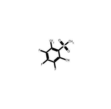 CS(=O)(=O)c1c(C#N)c(F)c(F)c(F)c1C(F)(F)F